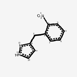 O=[N+]([O-])c1ccccc1Cc1cc[nH]n1